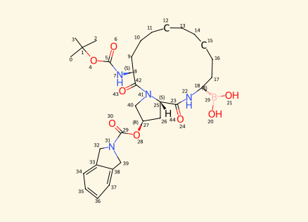 CC(C)(C)OC(=O)N[C@H]1CCCCCCCCC[C@@H](B(O)O)NC(=O)[C@@H]2C[C@@H](OC(=O)N3Cc4ccccc4C3)CN2C1=O